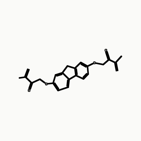 C=C(C)C(=O)COc1ccc2c(c1)Cc1cc(OCC(=O)C(=C)C)ccc1-2